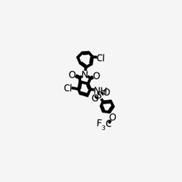 O=C1c2c(Cl)ccc(NS(=O)(=O)c3ccc(OC(F)(F)F)cc3)c2C(=O)N1C1=CCC=CC(Cl)=C1